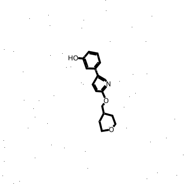 Oc1cccc(-c2ccc(OCC3CCOCC3)nc2)c1